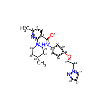 Cc1ccc(C(=O)Nc2ccc(OCCn3cccn3)cc2)c(N2CCC(C)CC2)n1